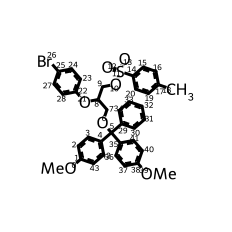 COc1ccc(C(OCC(COS(=O)(=O)c2ccc(C)cc2)Oc2ccc(Br)cc2)(c2ccccc2)c2ccc(OC)cc2)cc1